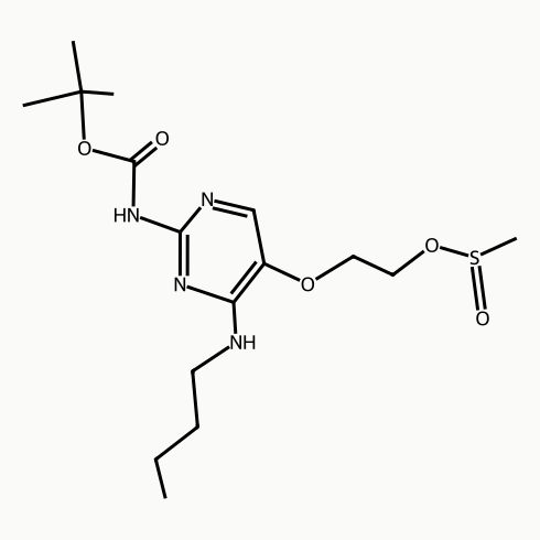 CCCCNc1nc(NC(=O)OC(C)(C)C)ncc1OCCOS(C)=O